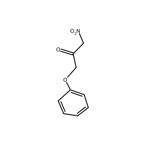 O=C(COc1ccccc1)C[N+](=O)[O-]